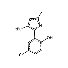 Cn1cc(C(C)(C)C)c(-c2cc(Cl)ccc2O)n1